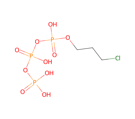 O=P(O)(O)OP(=O)(O)OP(=O)(O)OCCCCl